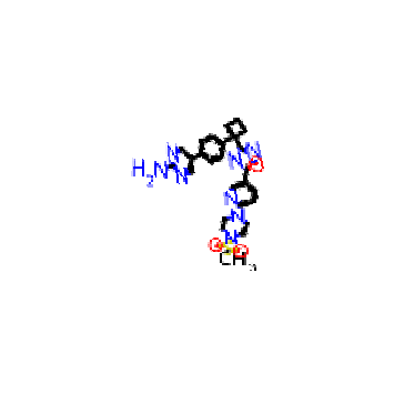 CS(=O)(=O)N1CCN(c2ccc(-c3nc(C4(c5ccc(-c6cnc(N)nc6)cc5)CCC4)no3)cn2)CC1